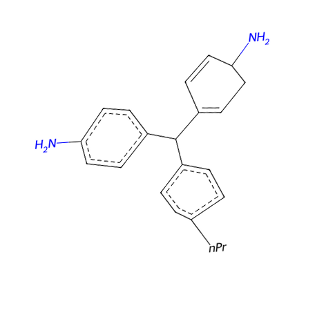 CCCc1ccc(C(C2=CCC(N)C=C2)c2ccc(N)cc2)cc1